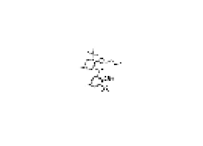 CCCCOc1c(C(C)c2cc(C)cc(C(C)(C)C)c2O)cc(C)cc1C(C)(C)C